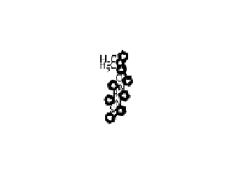 CC1(C)c2ccccc2-c2cc3c(cc21)oc1c(N2c4ccccc4B4c5ccccc5N(c5cccc6c5sc5ccccc56)c5cccc2c54)cccc13